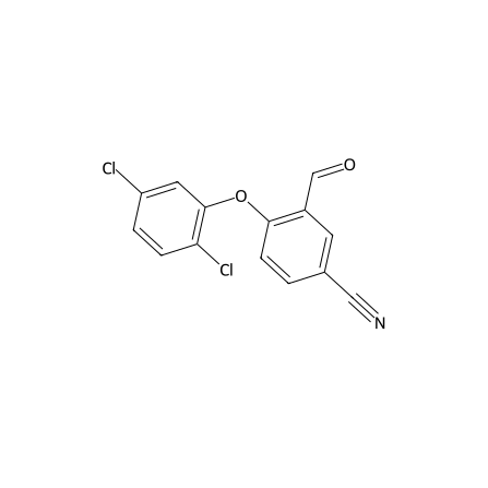 N#Cc1ccc(Oc2cc(Cl)ccc2Cl)c(C=O)c1